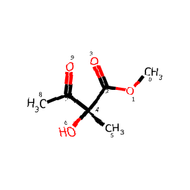 COC(=O)[C@](C)(O)C(C)=O